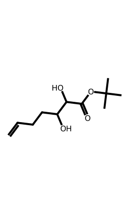 C=CCCC(O)C(O)C(=O)OC(C)(C)C